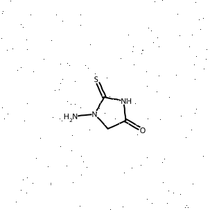 NN1CC(=O)NC1=S